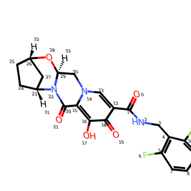 O=C(NCc1c(F)cccc1F)c1cn2c(c(O)c1=O)C(=O)N1[C@@H]3CC[C@@H](C3)O[C@H]1C2